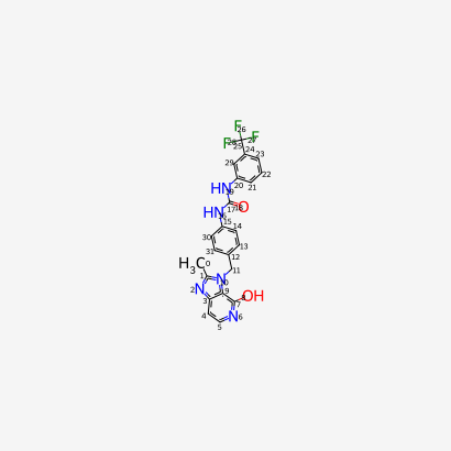 Cc1nc2ccnc(O)c2n1Cc1ccc(NC(=O)Nc2cccc(C(F)(F)F)c2)cc1